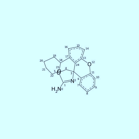 NC1=NC2(CO1)c1ccccc1Oc1cccc(C3CCCCO3)c12